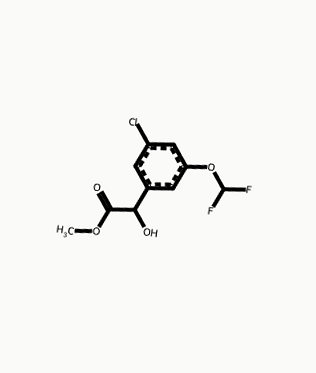 COC(=O)C(O)c1cc(Cl)cc(OC(F)F)c1